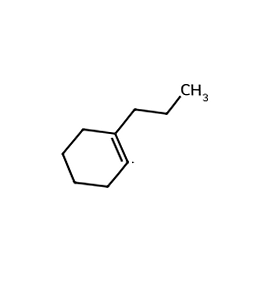 CCCC1=[C]CCCC1